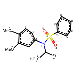 CCC(C(=O)O)N(c1ccc(OC)c(OC)c1)S(=O)(=O)c1ccccc1